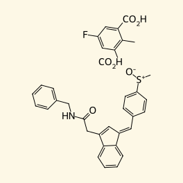 C[S+]([O-])c1ccc(C=C2C=C(CC(=O)NCc3ccccc3)c3ccccc32)cc1.Cc1c(C(=O)O)cc(F)cc1C(=O)O